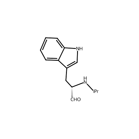 CC(C)N[C@H](C=O)Cc1c[nH]c2ccccc12